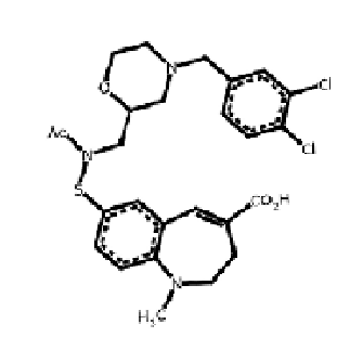 CC(=O)N(C[C@@H]1CN(Cc2ccc(Cl)c(Cl)c2)CCO1)Sc1ccc2c(c1)C=C(C(=O)O)CCN2C